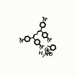 CN(C)c1ccc(C(=CCC=C(c2ccc(N(C)C)cc2)c2ccc(N(C)C)cc2)c2ccc(N(C)C)cc2)cc1.Cc1ccccc1S(N)(=O)=O